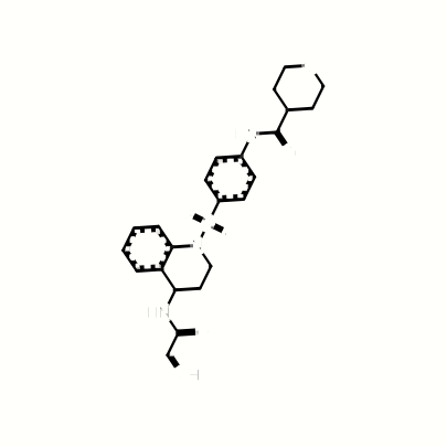 C=CC(=O)NC1CCN(S(=O)(=O)c2ccc(NC(=O)C3CCOCC3)cc2)c2ccccc21